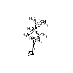 CO[Si](CC[Si]1(C)O[SiH](C)O[Si](C)(CCCOC2COC2)O[SiH](C)O1)(OC)OC